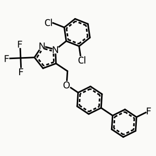 Fc1cccc(-c2ccc(OCc3cc(C(F)(F)F)nn3-c3c(Cl)cccc3Cl)cc2)c1